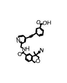 CC1(C#N)COCc2ccc(C(=O)NCc3cc(C#Cc4cccc(C(=O)O)c4)ccn3)cc21